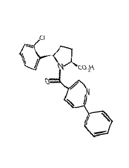 O=C(O)[C@@H]1CC[C@H](c2ccccc2Cl)N1C(=O)c1ccc(-c2ccccc2)nc1